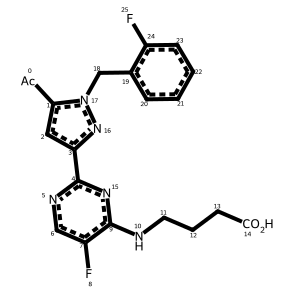 CC(=O)c1cc(-c2ncc(F)c(NCCCC(=O)O)n2)nn1Cc1ccccc1F